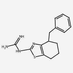 N=C(N)Nc1nc2c(s1)CCCC2Cc1ccccc1